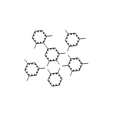 Cc1cc(C)cc(N2c3ccccc3B3c4c(C)cc(C)cc4N(c4cc(C)cc(C)c4)c4cc(-c5c(C)cccc5C)cc2c43)c1